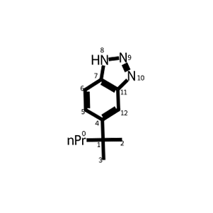 CCCC(C)(C)c1ccc2[nH]nnc2c1